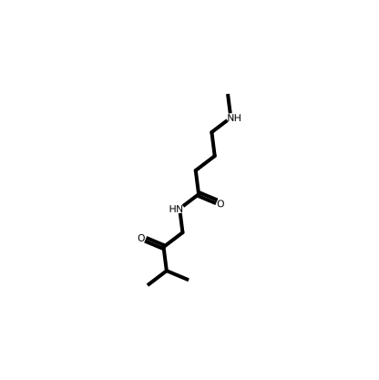 CNCCCC(=O)NCC(=O)C(C)C